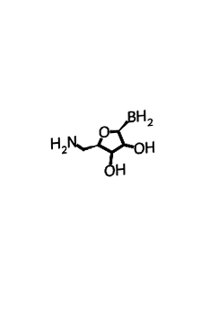 B[C@@H]1O[C@H](CN)C(O)C1O